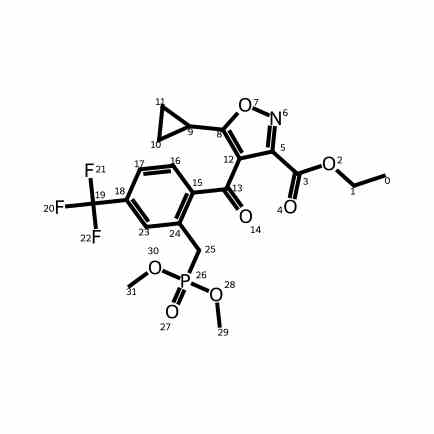 CCOC(=O)c1noc(C2CC2)c1C(=O)c1ccc(C(F)(F)F)cc1CP(=O)(OC)OC